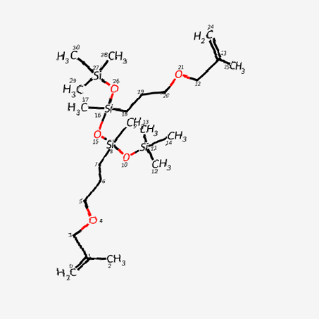 C=C(C)COCCC[Si](C)(O[Si](C)(C)C)O[Si](C)(CCCOCC(=C)C)O[Si](C)(C)C